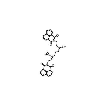 CC(C)N(CCCN(CCN1C(=O)c2cccc3cccc(c23)C1=O)C1CC1)CCN1C(=O)c2cccc3cccc(c23)C1=O